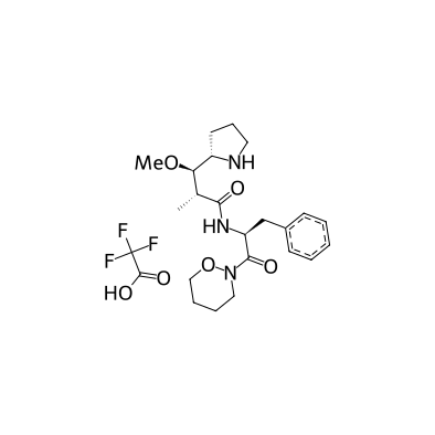 CO[C@@H]([C@@H]1CCCN1)[C@@H](C)C(=O)N[C@@H](Cc1ccccc1)C(=O)N1CCCCO1.O=C(O)C(F)(F)F